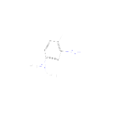 CCC(C)N(c1ccc(C)c(N)c1)C(C)CC